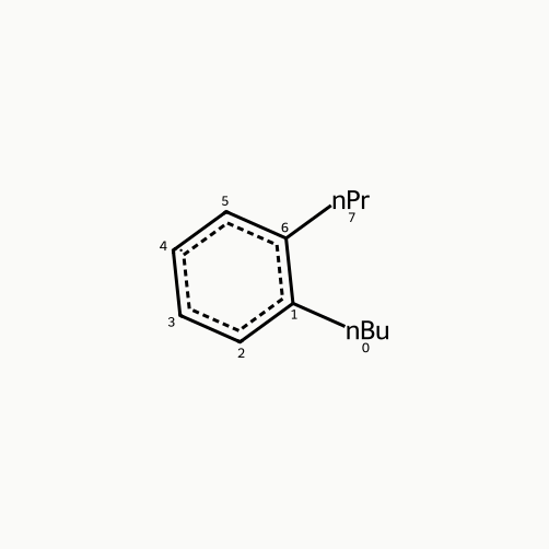 CCCCc1cc[c]cc1CCC